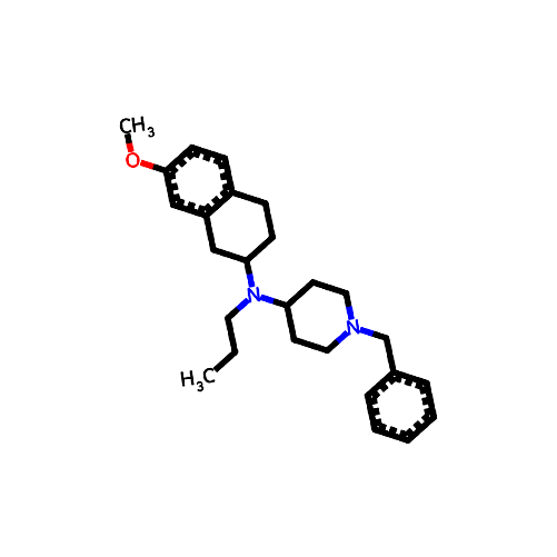 CCCN(C1CCN(Cc2ccccc2)CC1)C1CCc2ccc(OC)cc2C1